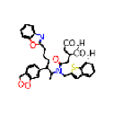 CC(C(CCCc1nc2ccccc2o1)c1ccc2c(c1)OOC2)N(Cc1cc2ccccc2s1)C(=O)CC(CC(=O)O)C(=O)O